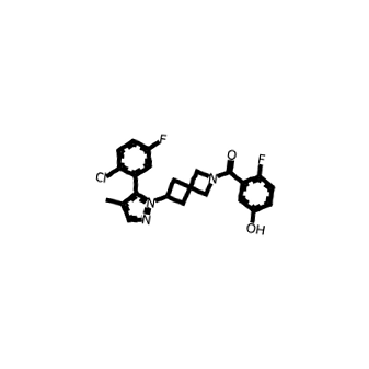 Cc1cnn(C2CC3(C2)CN(C(=O)c2cc(O)ccc2F)C3)c1-c1cc(F)ccc1Cl